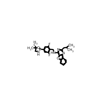 CC(C)Cc1nc(NCc2c(F)cc(B3NCC(C)(C)O3)cc2F)c2oc3ccccc3c2n1